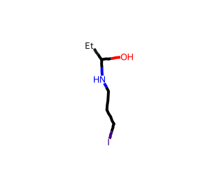 CCC(O)NCCCI